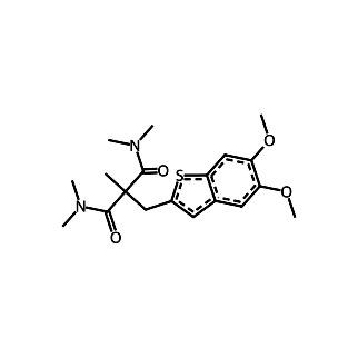 COc1cc2cc(CC(C)(C(=O)N(C)C)C(=O)N(C)C)sc2cc1OC